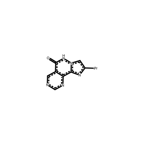 CC(C)c1cn2[nH]c(=O)c3cncnc3c2n1